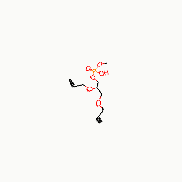 C=CCOCC(COP(=O)(O)OC)OCC=C